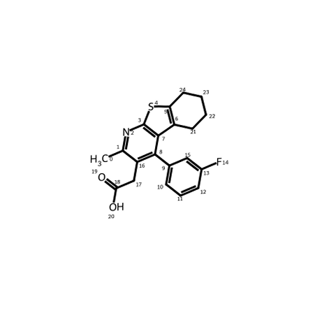 Cc1nc2sc3c(c2c(-c2cccc(F)c2)c1CC(=O)O)CCCC3